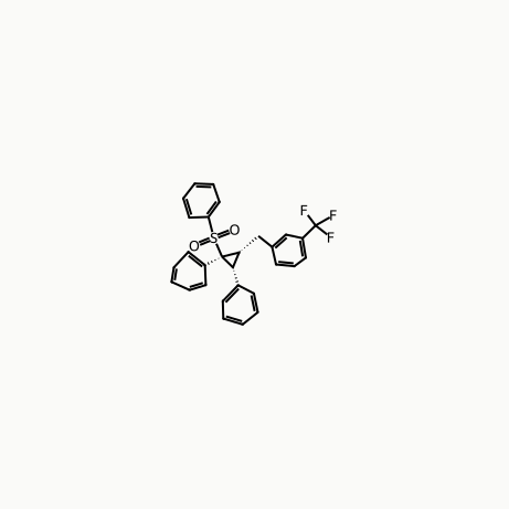 O=S(=O)(c1ccccc1)[C@@]1(c2ccccc2)[C@H](Cc2cccc(C(F)(F)F)c2)[C@@H]1c1ccccc1